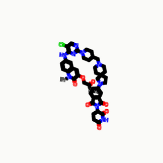 CNC(=O)COc1cc2cc(Nc3nc(N4CCC(CN5CCC6(CC5)CCN(c5ccc7c(c5)C(=O)N(C5CCC(=O)NC5=O)C7=O)C6)CC4)ncc3Cl)ccc2n(C(C)C)c1=O